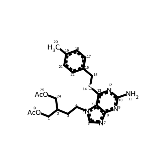 CC(=O)OCC(CCn1cnc2nc(N)nc(SCc3ccc(C)cc3)c21)COC(C)=O